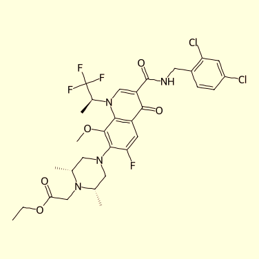 CCOC(=O)CN1[C@H](C)CN(c2c(F)cc3c(=O)c(C(=O)NCc4ccc(Cl)cc4Cl)cn([C@@H](C)C(F)(F)F)c3c2OC)C[C@@H]1C